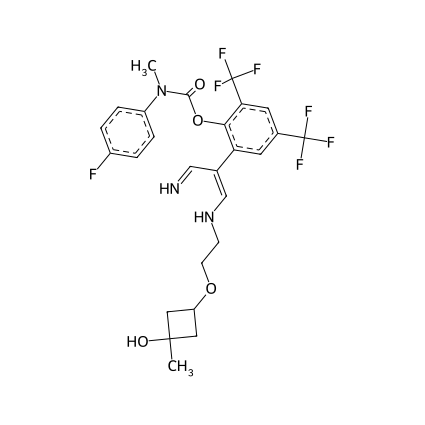 CN(C(=O)Oc1c(/C(C=N)=C/NCCOC2CC(C)(O)C2)cc(C(F)(F)F)cc1C(F)(F)F)c1ccc(F)cc1